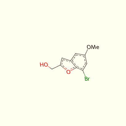 COc1cc(Br)c2oc(CO)cc2c1